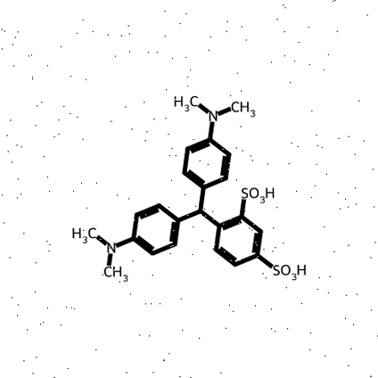 CN(C)c1ccc(C(c2ccc(N(C)C)cc2)c2ccc(S(=O)(=O)O)cc2S(=O)(=O)O)cc1